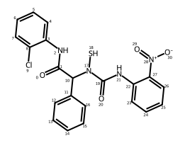 O=C(Nc1ccccc1Cl)C(c1ccccc1)N(S)C(=O)Nc1ccccc1[N+](=O)[O-]